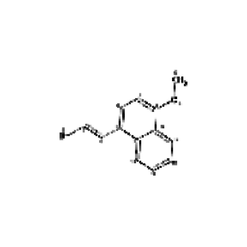 COc1ccc(/C=C/Br)c2ccccc12